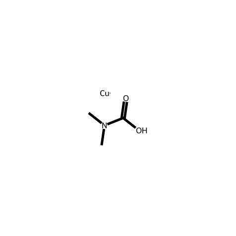 CN(C)C(=O)O.[Cu]